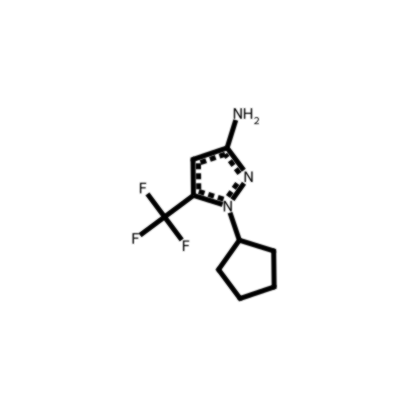 Nc1cc(C(F)(F)F)n(C2CCCC2)n1